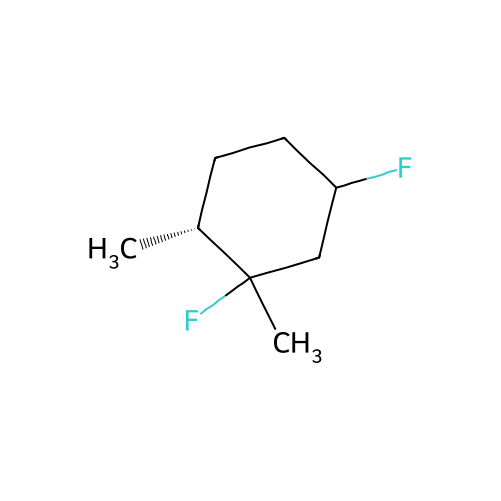 C[C@@H]1CCC(F)CC1(C)F